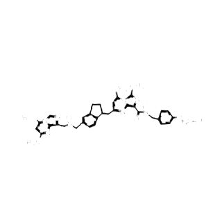 CCCCCOc1ccc(CNC(=O)c2nc(C)n3c(C)cc(CC4CCc5cc(CNCc6ncn7c(C)cc(C)nc67)ccc54)nc23)cc1